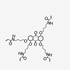 C=CC(=O)NCCCCOc1ccc2c(c1OCCCCNC(=O)C=C)C(=O)c1c(OCCCCNC(=O)C=C)ccc(OCCCCNC(=O)C=C)c1C2=O